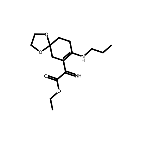 CCCNC1=C(C(=N)C(=O)OCC)CC2(CC1)OCCO2